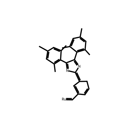 Cc1cc(C)c(C2=NC(=C3C=C([CH]=[Ru])C=CC3)N=C2c2c(C)cc(C)cc2C)c(C)c1